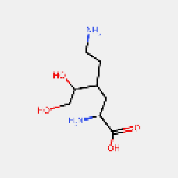 NCCC(C[C@H](N)C(=O)O)C(O)CO